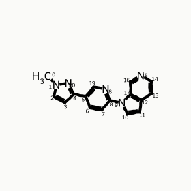 Cn1ccc(-c2ccc(-n3ccc4ccncc43)nc2)n1